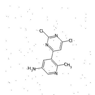 Cc1ncc(N)cc1-c1cc(Cl)nc(Cl)n1